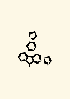 c1ccc2c(c1)[nH]c1ccccc12.c1ccccc1.c1ccsc1.c1cscn1